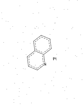 [Pt].c1ccc2ncccc2c1